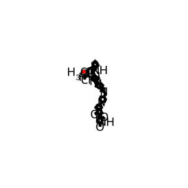 C[C@@H]1Cc2c([nH]c3ccccc23)[C@@H](c2cnc(N3CCC4(CC3)CN(CC3CCN(c5ccc6c(c5)CN(C5CCC(=O)NC5=O)C6=O)CC3)C4)cn2)N1CC(C)(C)F